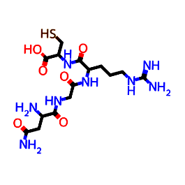 N=C(N)NCCCC(NC(=O)CNC(=O)C(N)CC(N)=O)C(=O)NC(CS)C(=O)O